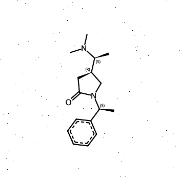 C[C@@H]([C@@H]1CC(=O)N([C@@H](C)c2ccccc2)C1)N(C)C